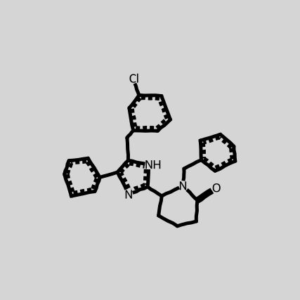 O=C1CCCC(c2nc(-c3ccccc3)c(Cc3cccc(Cl)c3)[nH]2)N1Cc1ccccc1